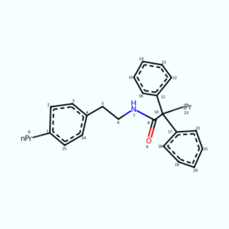 CCCc1ccc(CCNC(=O)C(c2ccccc2)(c2ccccc2)C(C)C)cc1